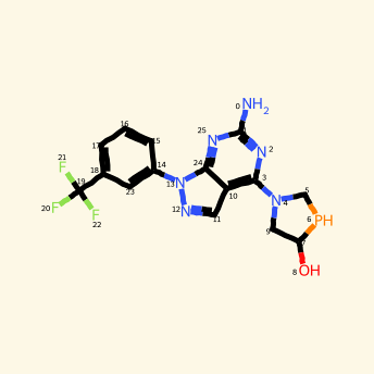 Nc1nc(N2CPC(O)C2)c2cnn(-c3cccc(C(F)(F)F)c3)c2n1